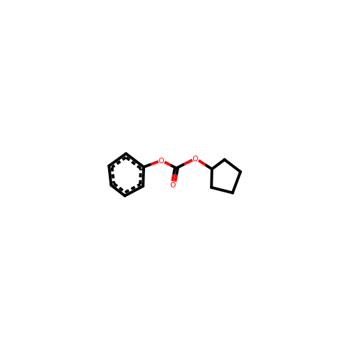 O=C(Oc1ccccc1)OC1CCCC1